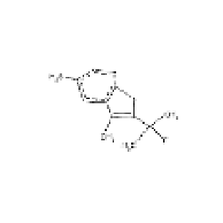 Bc1ccc2c(c1)C(C)=C(C(C)(C)F)C2